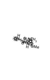 COC(=O)CC(NC(=O)CNC(=O)CCCCNc1ccccn1)c1ccc(C)c([N+](=O)[O-])c1